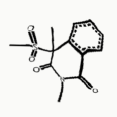 CN1C(=O)c2ccccc2C(C)(S(C)(=O)=O)C1=O